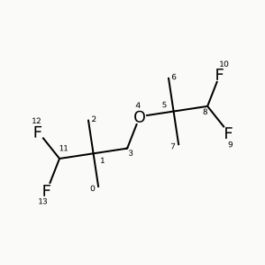 CC(C)(COC(C)(C)C(F)F)C(F)F